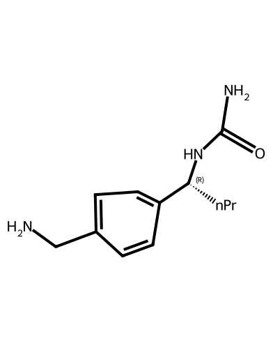 CCC[C@@H](NC(N)=O)c1ccc(CN)cc1